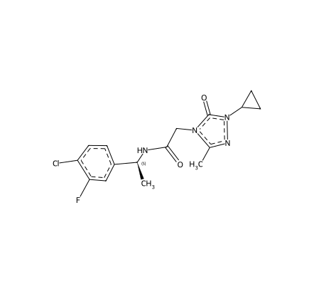 Cc1nn(C2CC2)c(=O)n1CC(=O)N[C@@H](C)c1ccc(Cl)c(F)c1